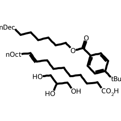 CCCCCCCCC=CCCCCCCCC(=O)O.CCCCCCCCCCCCCCCCOC(=O)c1ccc(C(C)(C)C)cc1.OCC(O)CO